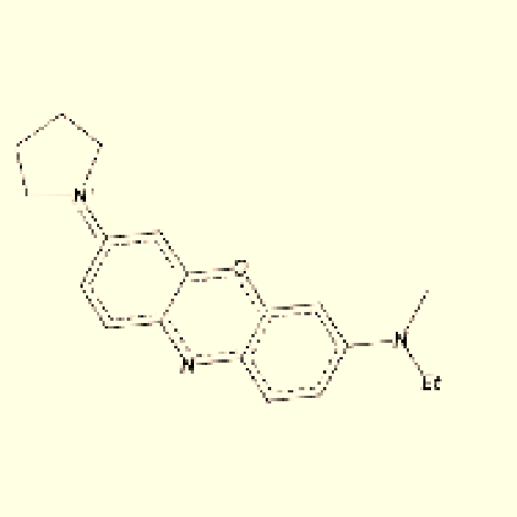 CCN(C)c1ccc2nc3ccc(=[N+]4CCCC4)cc-3oc2c1